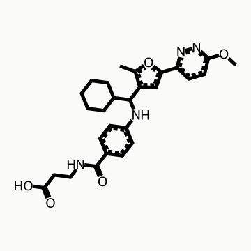 COc1ccc(-c2cc(C(Nc3ccc(C(=O)NCCC(=O)O)cc3)C3CCCCC3)c(C)o2)nn1